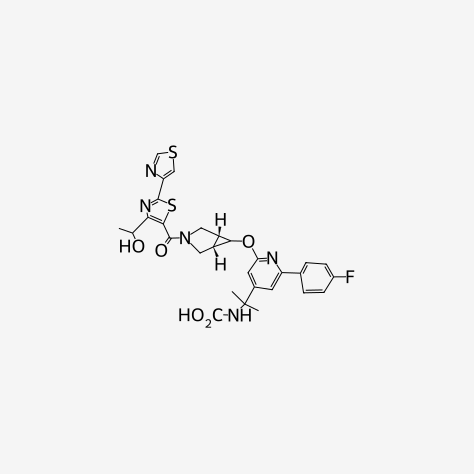 CC(O)c1nc(-c2cscn2)sc1C(=O)N1C[C@@H]2C(Oc3cc(C(C)(C)NC(=O)O)cc(-c4ccc(F)cc4)n3)[C@@H]2C1